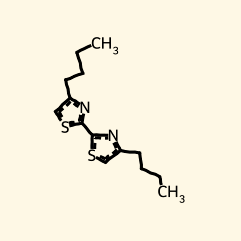 CCCCc1csc(-c2nc(CCCC)cs2)n1